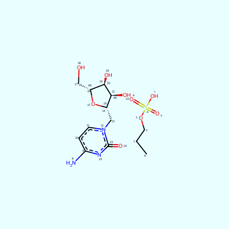 CCCOS(=O)(=O)O.Nc1ccn(C[C@@H]2O[C@H](CO)[C@@H](O)[C@H]2O)c(=O)n1